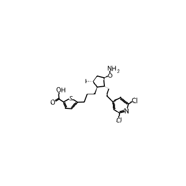 NO[C@@H]1C[C@@H](I)[C@H](CCCc2ccc(C(=O)O)s2)[C@H]1CCc1cc(Cl)nc(Cl)c1